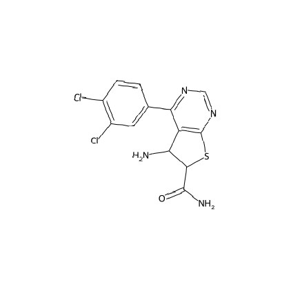 NC(=O)C1Sc2ncnc(-c3ccc(Cl)c(Cl)c3)c2C1N